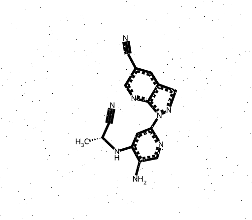 C[C@H](C#N)Nc1cc(-n2ncc3cc(C#N)cnc32)ncc1N